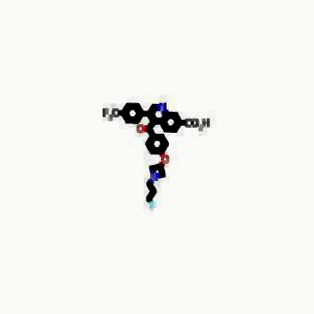 O=C(O)c1ccc2c(C(=O)c3ccc(OC4CN(CCCF)C4)cc3)c(-c3ccc(C(F)(F)F)cc3)cnc2c1